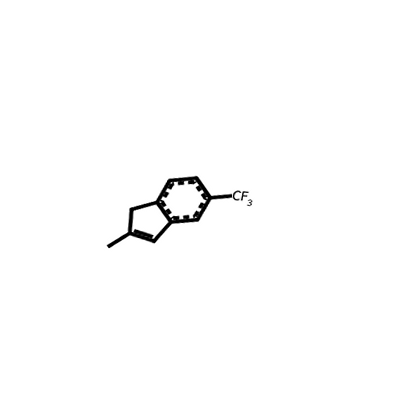 CC1=Cc2cc(C(F)(F)F)ccc2C1